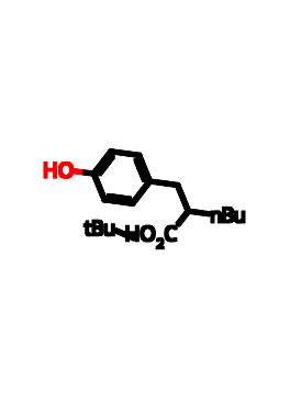 CC(C)(C)C.CCCCC(Cc1ccc(O)cc1)C(=O)O